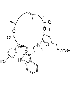 CNCCCC[C@@H]1NC(=O)[C@@H](C)C/C(C)=C/CC[C@H](C)OC(=O)C[C@H](c2ccc(O)cc2)NC(=O)C(Cc2c[nH]c3ccccc23)N(C)C1=O